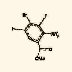 COC(=O)c1cc(I)c(Br)c(F)c1N